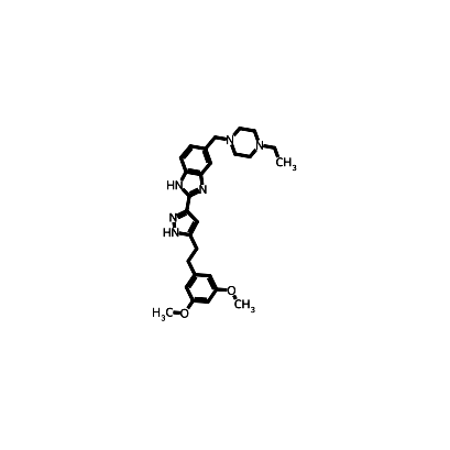 CCN1CCN(Cc2ccc3[nH]c(-c4cc(CCc5cc(OC)cc(OC)c5)[nH]n4)nc3c2)CC1